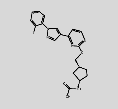 O=C(O)N[C@@H]1CC[C@H](COc2nccc(-c3cnn(-c4ccccc4F)c3)n2)C1